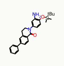 CC(C)(C)[Si](C)(C)Oc1ccc(N2CCc3cc(-c4ccccc4)ccc3C2=O)cc1N